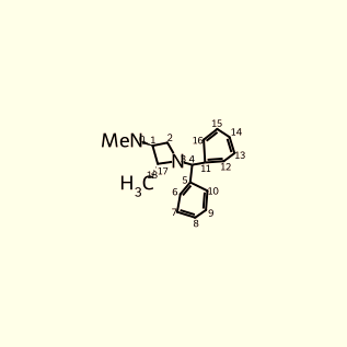 CN[C@H]1CN(C(c2ccccc2)c2ccccc2)[C@@H]1C